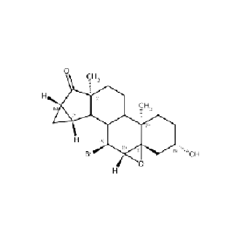 C[C@]12CCC3C(C1[C@@H]1C[C@@H]1C2=O)[C@H](Br)[C@H]1O[C@]12C[C@@H](O)CC[C@]32C